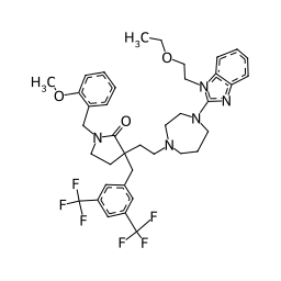 CCOCCn1c(N2CCCN(CCC3(Cc4cc(C(F)(F)F)cc(C(F)(F)F)c4)CCN(Cc4ccccc4OC)C3=O)CC2)nc2ccccc21